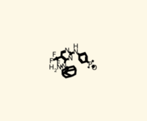 CP(C)(=O)c1ccc(Nc2ncc(C(F)(F)F)c(N(N)C34CC5CC(CC(C5)C3)C4)n2)cc1